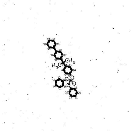 CC(C)(c1ccc(OP(=O)(Oc2ccccc2)Oc2ccccc2)cc1)c1ccc(-c2ccccc2)cc1